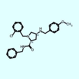 COc1ccc(CN[C@H]2C[C@@H](C(=O)NCc3ccccc3)N(Cc3ccccc3Cl)C2)cc1